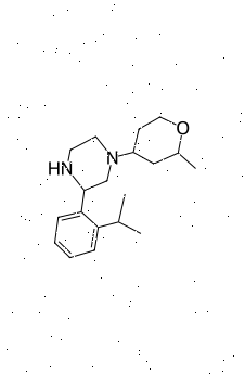 CC1CC(N2CCNC(c3ccccc3C(C)C)C2)CCO1